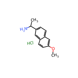 COc1ccc2cc(C(C)N)ccc2c1.Cl